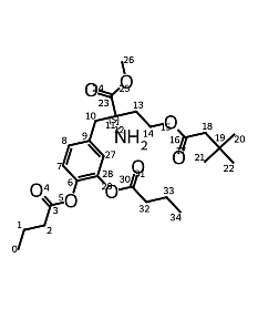 CCCC(=O)Oc1ccc(C[C@](N)(CCOC(=O)CC(C)(C)C)C(=O)OC)cc1OC(=O)CCC